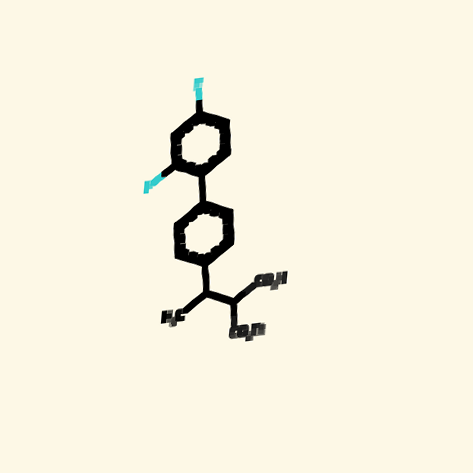 CCOC(=O)C(C(=O)O)C(C)c1ccc(-c2ccc(F)cc2F)cc1